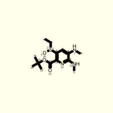 CC[S+]([O-])c1cc(NC)c(NC)nc1C(=O)OC(C)(C)C